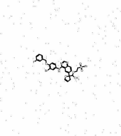 CC(OCCS(=O)(=O)C(C)C)C1(c2ccc3ncnc(Nc4ccc(OCc5cccc(F)c5)c(Br)c4)c3c2)CC=CO1